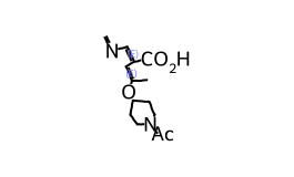 C=N/C=C(\C=C(/C)OC1CCN(C(C)=O)CC1)C(=O)O